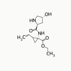 C=CC1C[C@]1(NC(=O)[C@@H]1C[C@@H](O)CN1)C(=O)OCC